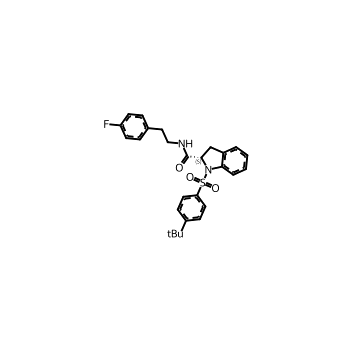 CC(C)(C)c1ccc(S(=O)(=O)N2c3ccccc3C[C@H]2C(=O)NCCc2ccc(F)cc2)cc1